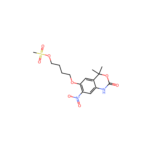 CC1(C)OC(=O)Nc2cc([N+](=O)[O-])c(OCCCCOS(C)(=O)=O)cc21